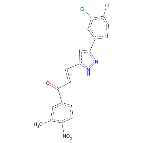 Cc1cc(C(=O)/C=C/c2cc(-c3ccc(Cl)c(Cl)c3)n[nH]2)ccc1[N+](=O)[O-]